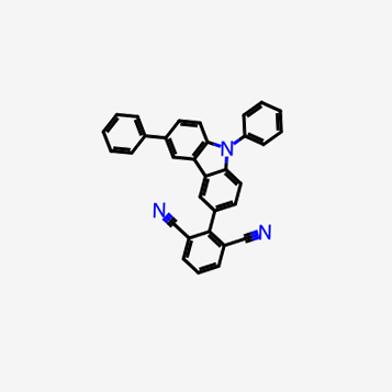 N#Cc1cccc(C#N)c1-c1ccc2c(c1)c1cc(-c3ccccc3)ccc1n2-c1ccccc1